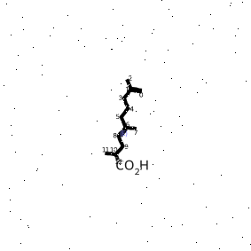 C=C(C)CCC/C(C)=C/CC(C)C(=O)O